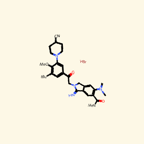 Br.CNC(=O)c1cc2c(cc1N(C)C)CN(CC(=O)c1cc(N3CCC(C#N)CC3)c(OC)c(C(C)(C)C)c1)C2=N